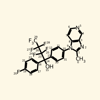 Cc1nc2cnccc2n1-c1ccc(C(O)(c2ccc(F)cc2)C(F)(F)C(F)(F)C(F)(F)F)cc1